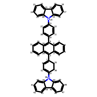 C1=C(c2c3ccccc3c(-c3ccc(-n4c5ccccc5c5ccccc54)cc3)c3ccccc23)CCC(n2c3ccccc3c3ccccc32)=C1